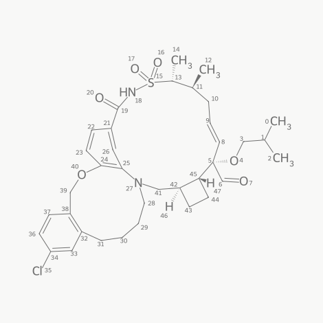 CC(C)CO[C@@]1(C=O)/C=C/C[C@H](C)[C@@H](C)S(=O)(=O)NC(=O)c2ccc3c(c2)N(CCCCc2cc(Cl)ccc2CO3)C[C@@H]2CC[C@H]21